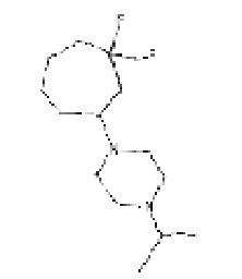 CC(C)N1CCN(C2CCCCC(F)(F)C2)CC1